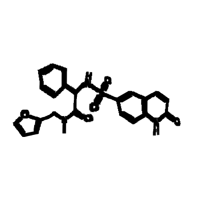 CN(Cc1ccco1)C(=O)C(NS(=O)(=O)c1ccc2[nH]c(=O)ccc2c1)c1ccccc1